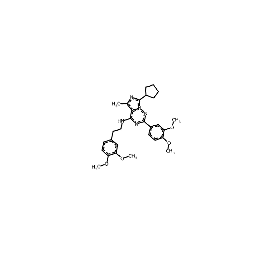 COc1ccc(CCNc2nc(-c3ccc(OC)c(OC)c3)nn3c(C4CCCC4)nc(C)c23)cc1OC